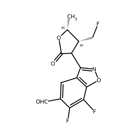 C[C@H]1OC(=O)C(c2noc3c(F)c(F)c(C=O)cc23)[C@H]1CF